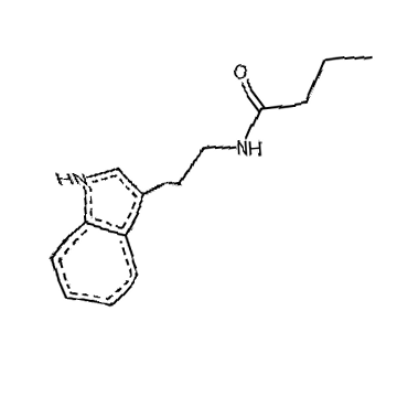 CCCC(=O)NCCc1c[nH]c2ccccc12